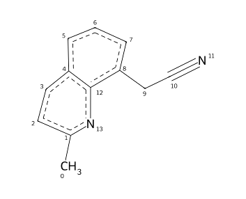 Cc1ccc2cccc(CC#N)c2n1